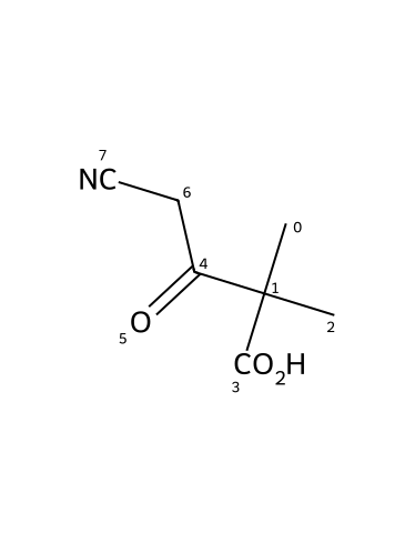 CC(C)(C(=O)O)C(=O)CC#N